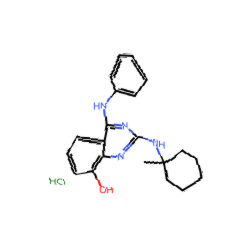 CC1(Nc2nc(Nc3ccccc3)c3cccc(O)c3n2)CCCCC1.Cl